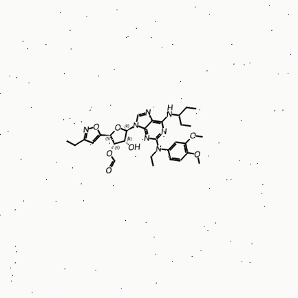 CCc1cc([C@H]2O[C@@H](n3cnc4c(NC(CC)CC)nc(N(CC)c5ccc(OC)c(OC)c5)nc43)[C@H](O)[C@@H]2OC=O)on1